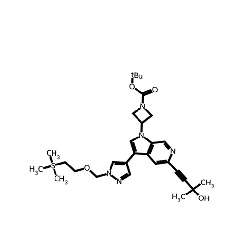 CC(C)(O)C#Cc1cc2c(-c3cnn(COCCS(C)(C)C)c3)cn(C3CN(C(=O)OC(C)(C)C)C3)c2cn1